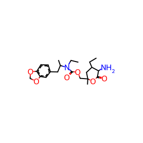 CCC1CC(C)(COC(=O)N(CC)C(C)Cc2ccc3c(c2)OCO3)OC(=O)C1N